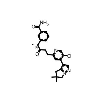 C[C@@H](C(=O)CCc1cc(-c2cnn3c2CC(C)(C)C3)c(Cl)cn1)c1cccc(C(N)=O)c1